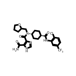 NC(=O)c1[nH]cnc1C(=O)N(CC1CCCO1)[C@H]1CC[C@H](C(=O)Nc2cc(C(F)(F)F)ccc2Cl)CC1